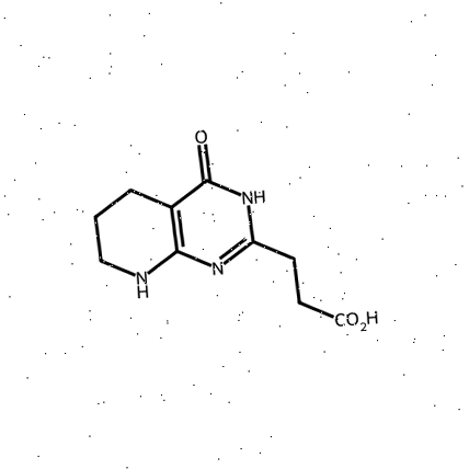 O=C(O)CCc1nc2c(c(=O)[nH]1)CCCN2